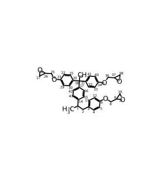 CC(Cc1ccc(OCC2CO2)cc1)c1ccc(C(C)(c2ccc(OCC3CO3)cc2)c2ccc(OCC3CO3)cc2)cc1